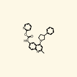 Cc1cc(N2CCC(c3ccccc3)C2)c2cc(NC(=O)Oc3ccccn3)ccc2n1